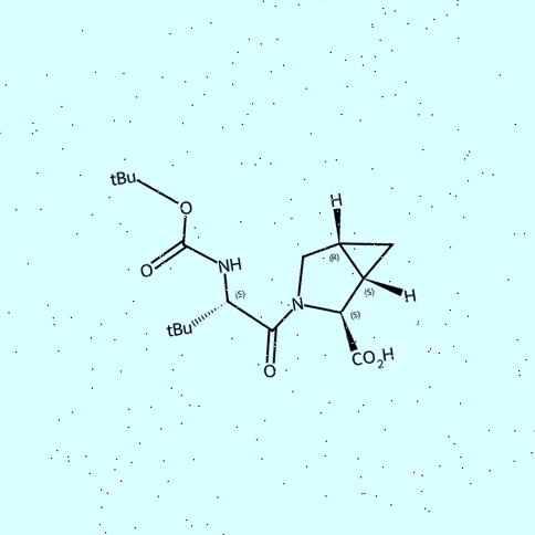 CC(C)(C)OC(=O)N[C@H](C(=O)N1C[C@@H]2C[C@@H]2[C@H]1C(=O)O)C(C)(C)C